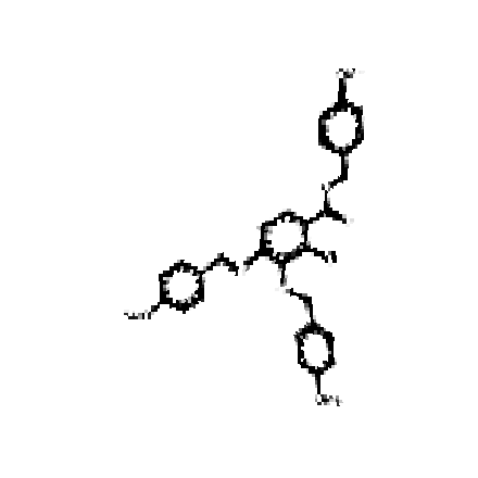 COc1ccc(COC(=O)c2ccc(OCc3ccc(OC)cc3)c(OCc3ccc(OC)cc3)c2Cl)cc1